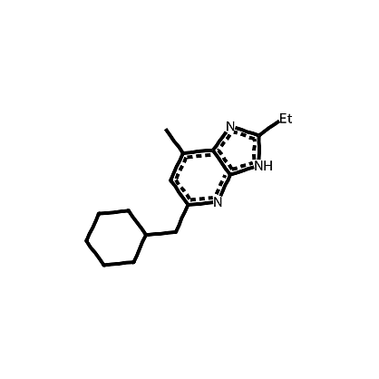 CCc1nc2c(C)cc(CC3CCCCC3)nc2[nH]1